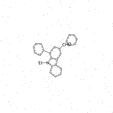 CCn1c2ccccc2c2cc(C=O)cc(-c3cc[c]cc3)c21.[c]1ccccc1